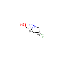 OC[C@H]1C[C@@H](F)CN1